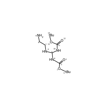 CC(C)(C)OC(=O)NC(NCCN)NC(=O)OC(C)(C)C